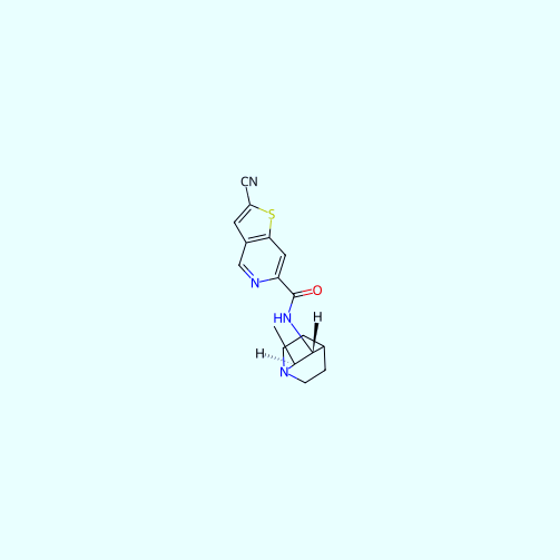 C[C@H]1[C@H](NC(=O)c2cc3sc(C#N)cc3cn2)C2CCN1CC2